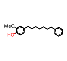 COc1cc(CCCCCCCc2ccccc2)ccc1O